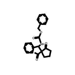 CC(=O)C1(C(NC(=O)OCc2ccccc2)c2ccccc2)CCCC1=O